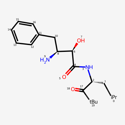 CC(C)C[C@@H](NC(=O)[C@H](O)[C@@H](N)Cc1ccccc1)C(=O)C(C)(C)C